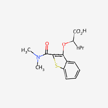 CCCC(Oc1c(C(=O)N(C)C)sc2ccccc12)C(=O)O